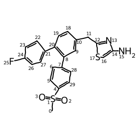 CS(=O)(=O)c1ccc(-c2cc(Cc3nc(N)cs3)ccc2-c2ccc(F)cc2)cc1